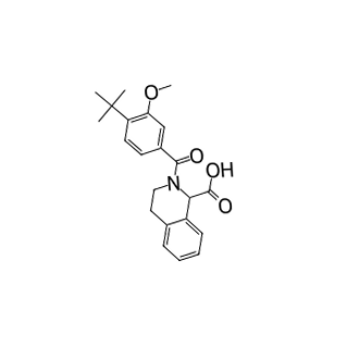 COc1cc(C(=O)N2CCc3ccccc3C2C(=O)O)ccc1C(C)(C)C